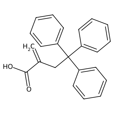 C=C(CC(c1ccccc1)(c1ccccc1)c1ccccc1)C(=O)O